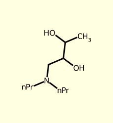 CCCN(CCC)CC(O)C(C)O